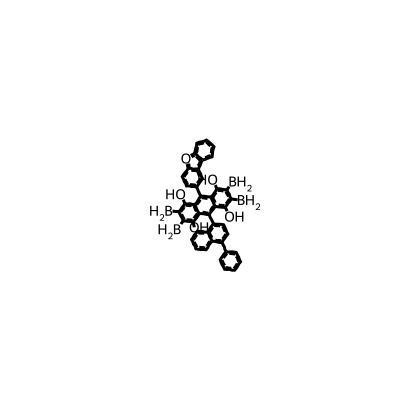 Bc1c(B)c(O)c2c(-c3ccc(-c4ccccc4)c4ccccc34)c3c(O)c(B)c(B)c(O)c3c(-c3ccc4oc5ccccc5c4c3)c2c1O